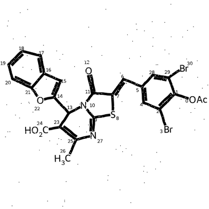 CC(=O)Oc1c(Br)cc(/C=c2\sc3n(c2=O)C(c2cc4ccccc4o2)C(C(=O)O)=C(C)N=3)cc1Br